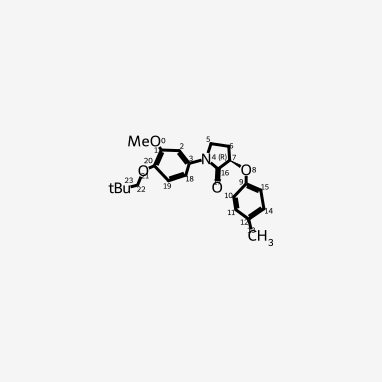 COc1cc(N2CC[C@@H](Oc3ccc(C)cc3)C2=O)ccc1OCC(C)(C)C